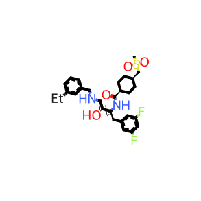 CCc1cccc(CNC[C@@H](O)[C@H](Cc2cc(F)cc(F)c2)NC(=O)[C@H]2CC[C@@H](CS(C)(=O)=O)CC2)c1